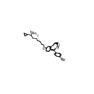 NC(CCCCCCOc1ccc2c(-c3ccc(Br)cc3)nccc2c1)C1CC1